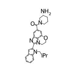 CC(C)Cn1c(-c2nc3cc(C(=O)N4CCC[C@@H](N)C4)cc4c3n2CCO4)cc2ccccc21